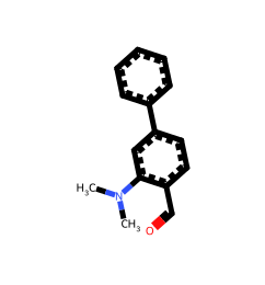 CN(C)c1cc(-c2ccccc2)ccc1C=O